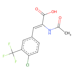 CC(=O)NC(=Cc1ccc(Cl)c(C(F)(F)F)c1)C(=O)O